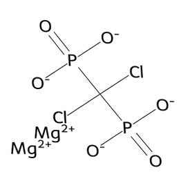 O=P([O-])([O-])C(Cl)(Cl)P(=O)([O-])[O-].[Mg+2].[Mg+2]